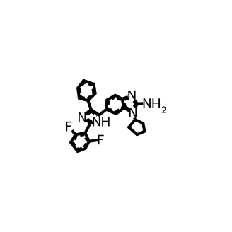 Nc1nc2ccc(-c3[nH]c(-c4c(F)cccc4F)nc3-c3ccccc3)cc2n1C1CCCC1